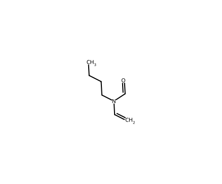 C=CN(C=O)CCCC